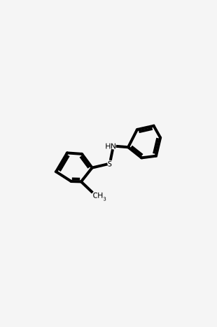 Cc1ccccc1SNc1ccccc1